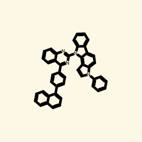 c1ccc(-n2ccc3c2ccc2c4ccccc4n(-c4nc(-c5ccc(-c6cccc7ccccc67)cc5)c5ccccc5n4)c23)cc1